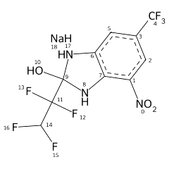 O=[N+]([O-])c1cc(C(F)(F)F)cc2c1NC(O)(C(F)(F)C(F)F)N2.[NaH]